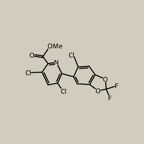 COC(=O)c1nc(-c2cc3c(cc2Cl)OC(F)(F)O3)c(Cl)cc1Cl